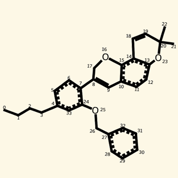 CCCCc1ccc(C2=Cc3ccc4c(c3OC2)C=CC(C)(C)O4)c(OCc2ccccc2)c1